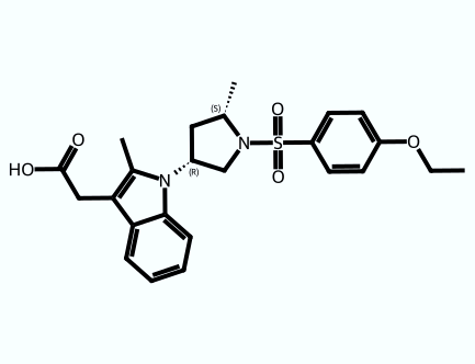 CCOc1ccc(S(=O)(=O)N2C[C@H](n3c(C)c(CC(=O)O)c4ccccc43)C[C@@H]2C)cc1